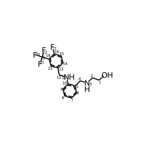 OCCNCc1ccccc1NCc1ccc(F)c(C(F)(F)F)c1